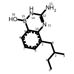 CCC(C)Cc1cccc2c1N=C(N)NB2O